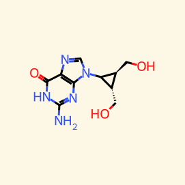 Nc1nc2c(ncn2C2[C@@H](CO)[C@@H]2CO)c(=O)[nH]1